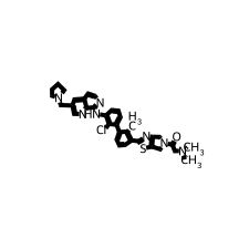 Cc1c(-c2nc3c(s2)CN(C(=O)CN(C)C)C3)cccc1-c1cccc(Nc2nccc3cc(CN4CCCC4)cnc23)c1Cl